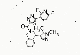 Cc1c(C2CN(C(=O)c3nnc(-c4ccc(F)nc4F)s3)Cc3ccccc32)cnn1C